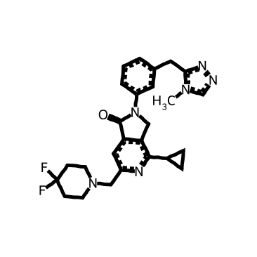 Cn1cnnc1Cc1cccc(N2Cc3c(cc(CN4CCC(F)(F)CC4)nc3C3CC3)C2=O)c1